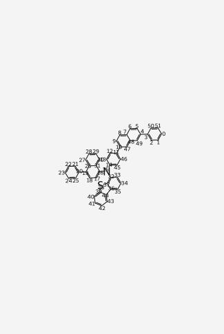 c1ccc(-c2ccc3ccc(-c4ccc(N(c5ccc(-c6ccccc6)c6ccccc56)c5cccc6c5sc5ccccc56)cc4)cc3c2)cc1